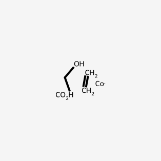 C=C.O=C(O)CO.[Co]